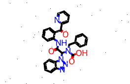 O=C(c1ccccn1)c1ccccc1NC(=O)C(N(Cc1ccccc1)C(=O)O)n1nnc2ccccc21